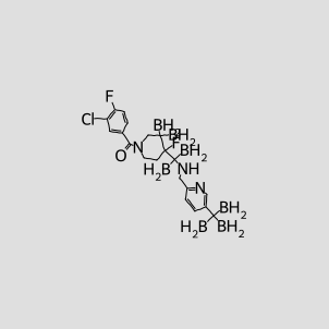 BC(B)(B)c1ccc(CNC(B)(B)C2(F)CCN(C(=O)c3ccc(F)c(Cl)c3)CC2(B)B)nc1